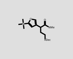 CCCCCCCCCCCCC(C(=O)NC)c1coc([Si](C)(C)C)c1